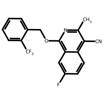 Cc1nc(OCc2ccccc2C(F)(F)F)c2cc(F)ccc2c1C#N